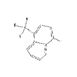 [CH2]c1ccc(C(F)(F)F)c2ccccc12